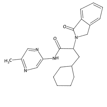 Cc1cnc(NC(=O)C(CC2CCCCC2)N2Cc3ccccc3C2=O)cn1